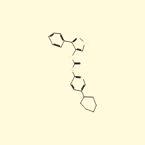 O=C(Nc1ccc(C2CCCCC2)cn1)Nc1c[nH]nc1-c1ccccc1